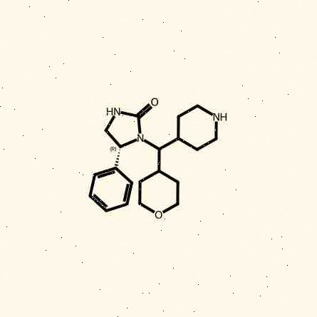 O=C1NC[C@@H](c2ccccc2)N1C(C1CCNCC1)C1CCOCC1